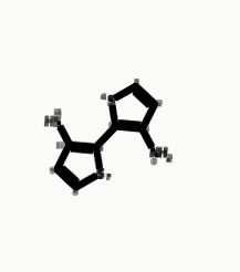 Nc1ccsc1-c1sccc1S